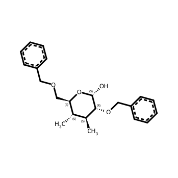 C[C@H]1[C@H](C)[C@@H](COCc2ccccc2)O[C@H](O)[C@@H]1OCc1ccccc1